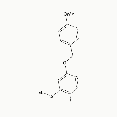 CCSc1cc(OCc2ccc(OC)cc2)ncc1C